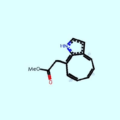 COC(=O)CC1=c2[nH]cc/c2=C/C=C\C=C/1